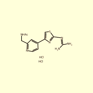 CC(=O)NCc1cc(-c2csc(N=C(N)N)n2)ccn1.Cl.Cl